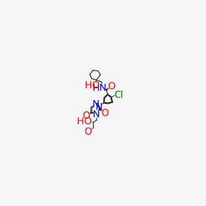 COC[C@H](O)Cn1c(=O)cnn(-c2ccc(Cl)c(C(=O)NCC3(O)CCCCC3)c2)c1=O